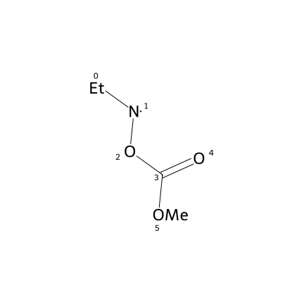 CC[N]OC(=O)OC